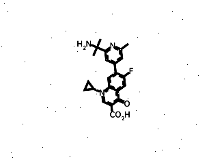 Cc1cc(-c2cc3c(cc2F)c(=O)c(C(=O)O)cn3C2CC2)cc(C(C)(C)N)n1